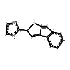 C1=C2SC(c3ncc[nH]3)C=C2c2ccccc21